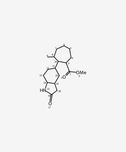 COC(=O)C1CCCCC(C)C1C1CCC2NC(=O)CC2C1